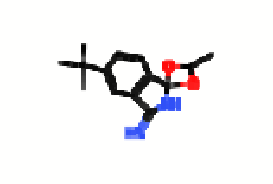 CC1OC2(NC(=N)c3cc(C(C)(C)C)ccc32)O1